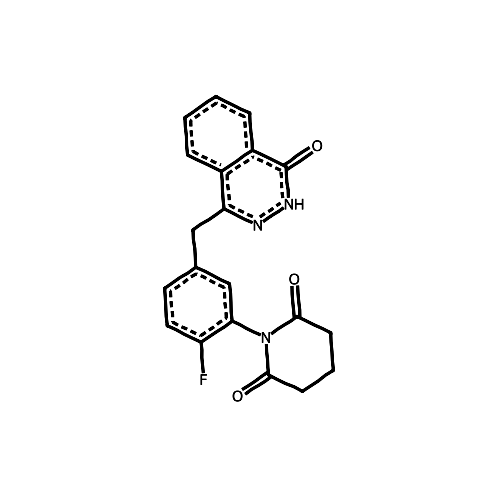 O=C1CCCC(=O)N1c1cc(Cc2n[nH]c(=O)c3ccccc23)ccc1F